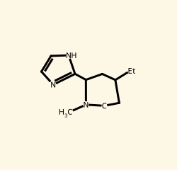 CCC1CCN(C)C(c2ncc[nH]2)C1